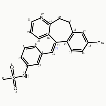 CS(=O)(=O)Nc1cccc(/C=C2/c3ccc(F)cc3CCc3ncccc32)c1